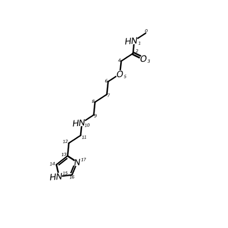 CNC(=O)COCCCCNCCc1c[nH]cn1